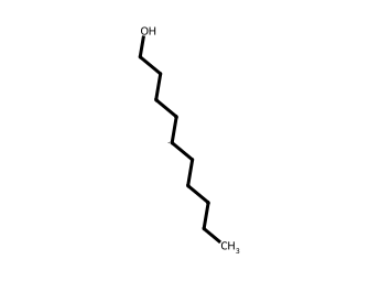 CCCCC[CH]CCCCO